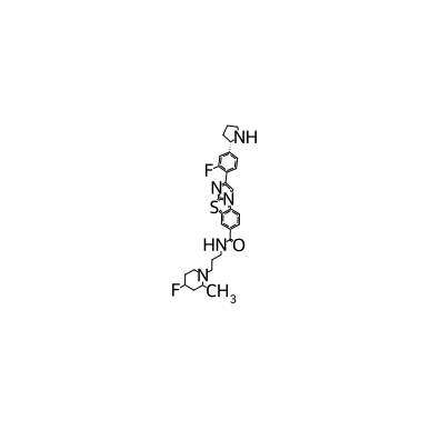 CC1CC(F)CCN1CCCNC(=O)c1ccc2c(c1)sc1nc(-c3ccc([C@@H]4CCCN4)cc3F)cn12